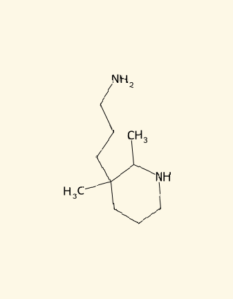 CC1NCCCC1(C)CCCN